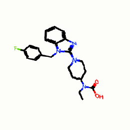 CCN(C(=O)O)C1CCN(c2nc3ccccc3n2Cc2ccc(F)cc2)CC1